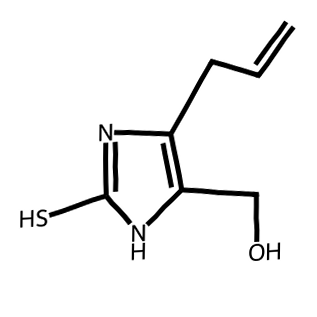 C=CCc1nc(S)[nH]c1CO